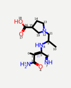 C/C(C(N)=O)=C(/C=N)NC(C)CN1CCC(C(=O)O)C1